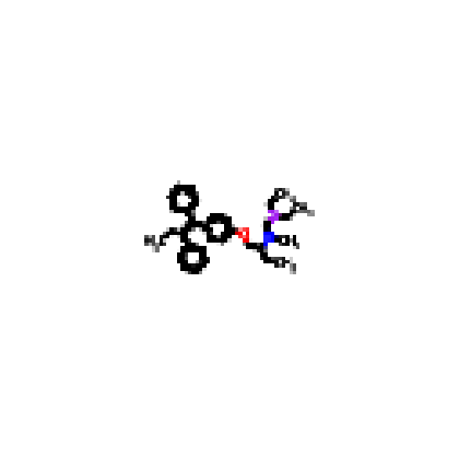 CC/C(=C(\c1ccccc1)c1ccc(OCC(CC)N(C)CI(CC)CC)cc1)c1ccccc1